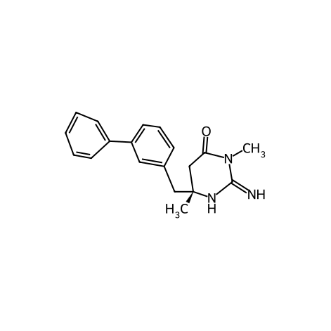 CN1C(=N)N[C@](C)(Cc2cccc(-c3ccccc3)c2)CC1=O